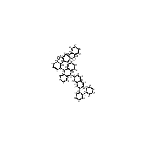 C1=CC(c2c3ccccc3c(-c3ccc4ccc(-c5ccccc5-c5ccccc5)cc4c3)c3ccccc23)=C2c3cc4oc5ccccc5c4cc3OC2C1